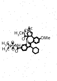 COc1ccc2c(c1)C1CN(C(C)=O)CC1(C(=O)N(C)C)Cn1c-2c(C2CCCCC2)c2ccc(C(=O)NS(=O)(=O)N(C)C)cc21